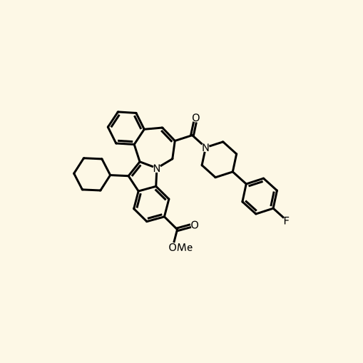 COC(=O)c1ccc2c(C3CCCCC3)c3n(c2c1)CC(C(=O)N1CCC(c2ccc(F)cc2)CC1)=Cc1ccccc1-3